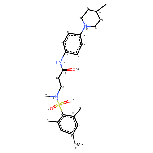 COc1cc(C)c(S(=O)(=O)N(C)CCC(=O)Nc2ccc(N3CCC(C)CC3)cc2)c(C)c1